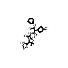 CC1(C)S[C@@H]2C(NC(=O)C(C(=O)Oc3ccccc3)c3ccc(Cl)cc3)C(=O)N2C1c1nnn[nH]1